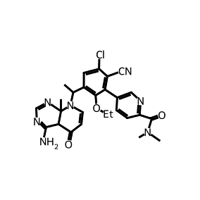 CCOc1c(C(C)N2C=CC(=O)C3C(N)=NC=NC32C)cc(Cl)c(C#N)c1-c1ccc(C(=O)N(C)C)nc1